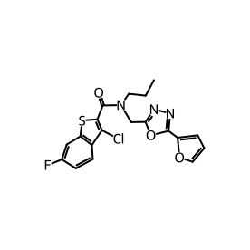 CCCN(Cc1nnc(-c2ccco2)o1)C(=O)c1sc2cc(F)ccc2c1Cl